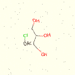 CC(=O)OCl.OCC(O)CO